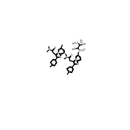 Cc1ccc(-c2nc3ccc(C)cn3c2CC(=O)N(C)C)cc1.Cc1ccc(-c2nc3ccc(C)cn3c2CC(=O)N(C)C)cc1.O.O=C(O)C(O)C(O)C(=O)O